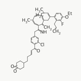 C=CCc1c(/C(=C/C(=C)C)C/C2=C/C=C\C(C)=C=C(C(=N)Cc3ccc(C(=O)/C=C/CCC4CCS(=O)(=O)CC4)c(Cl)c3)C2=C)ccc(OCC)c1F